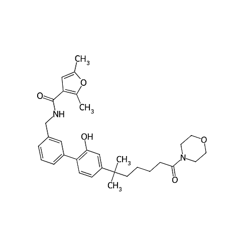 Cc1cc(C(=O)NCc2cccc(-c3ccc(C(C)(C)CCCCC(=O)N4CCOCC4)cc3O)c2)c(C)o1